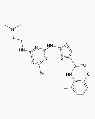 CCc1nc(NCCN(C)C)nc(Nc2ncc(C(=O)Nc3c(C)cccc3Cl)s2)n1